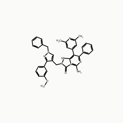 COc1cccc(-c2nn(Cc3ccccc3)cc2Cn2[nH]c3c(-c4cc(C)nc(C)c4)c(-c4ccccc4)nc(N)[n+]3c2=O)c1